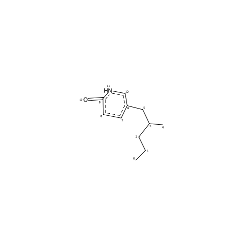 CCCC(C)Cc1ccc(=O)[nH]c1